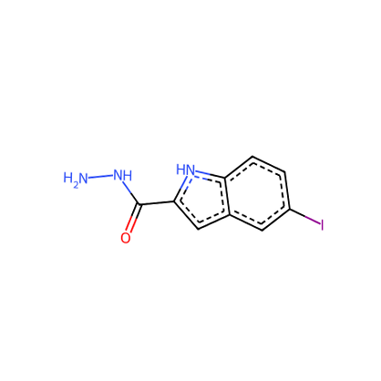 NNC(=O)c1cc2cc(I)ccc2[nH]1